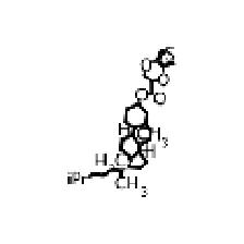 CC(C)CCCC(C)[C@H]1CC[C@H]2C3CC=C4CC(OC(=O)C5COc6cscc6O5)CCC4(C)[C@H]3CCC12C